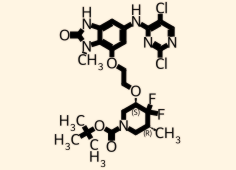 C[C@@H]1CN(C(=O)OC(C)(C)C)C[C@H](OCCOc2cc(Nc3nc(Cl)ncc3Cl)cc3[nH]c(=O)n(C)c23)C1(F)F